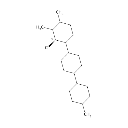 CC1CCC(C2CCC(C3CCC(C)C(C)[C@@H]3Cl)CC2)CC1